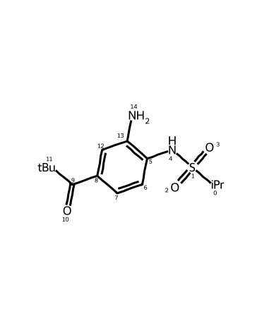 CC(C)S(=O)(=O)Nc1ccc(C(=O)C(C)(C)C)cc1N